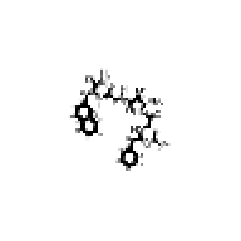 CC[C@H](C)C(NC(=O)[C@H](CCC(C)C)NC(=O)Cc1ccccc1)C(=O)C(=O)NCC(=O)N[C@@H](Cc1ccc2ccccc2c1)C(N)=O